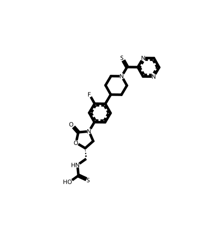 O=C1O[C@@H](CNC(O)=S)CN1c1ccc(C2CCN(C(=S)c3cnccn3)CC2)c(F)c1